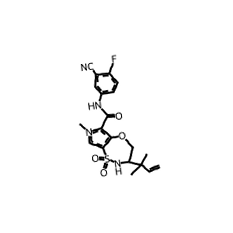 C=CC(C)(C)C1COc2c(cn(C)c2C(=O)Nc2ccc(F)c(C#N)c2)S(=O)(=O)N1